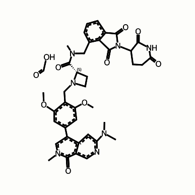 COc1cc(-c2cn(C)c(=O)c3cnc(N(C)C)cc23)cc(OC)c1CN1CC[C@H]1C(=O)N(C)Cc1cccc2c1C(=O)N(C1CCC(=O)NC1=O)C2=O.O=CO